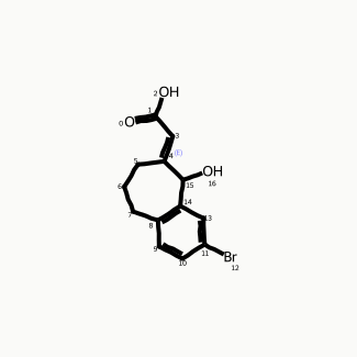 O=C(O)/C=C1\CCCc2ccc(Br)cc2C1O